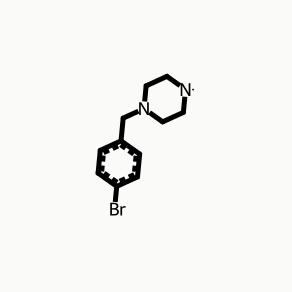 Brc1ccc(CN2CC[N]CC2)cc1